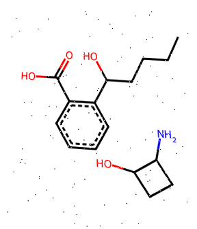 CCCCC(O)c1ccccc1C(=O)O.NC1CCC1O